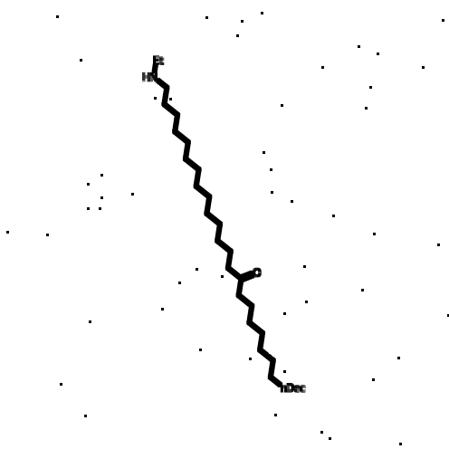 CCCCCCCCCCCCCCCCCC(=O)CCCCCCCCCCCCCCNCC